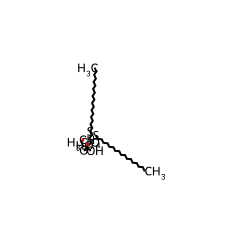 C.CCC(=O)O.CCCCCCCCCCCCCCCCCCSC(CC(=O)O)SCCCCCCCCCCCCCCCCCC